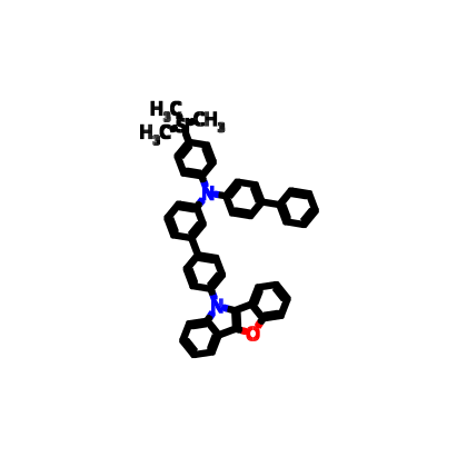 C[Si](C)(C)c1ccc(N(c2ccc(-c3ccccc3)cc2)c2cccc(-c3ccc(-n4c5ccccc5c5oc6ccccc6c54)cc3)c2)cc1